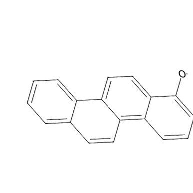 [O]c1cccc2c1ccc1c3ccccc3ccc21